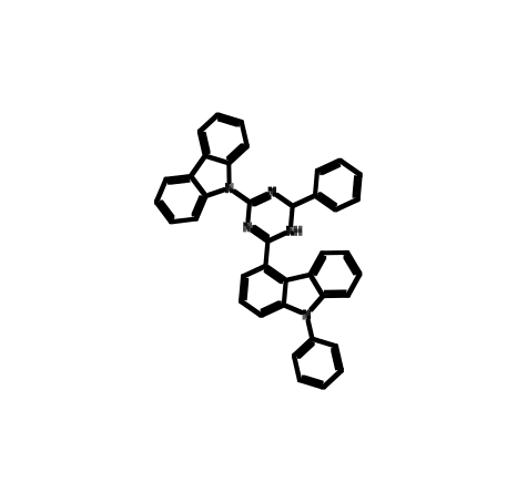 c1ccc(C2N=C(n3c4ccccc4c4ccccc43)N=C(c3cccc4c3c3ccccc3n4-c3ccccc3)N2)cc1